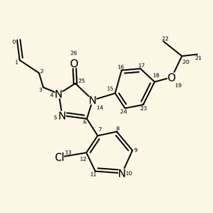 C=CCCn1nc(-c2ccncc2Cl)n(-c2ccc(OC(C)C)cc2)c1=O